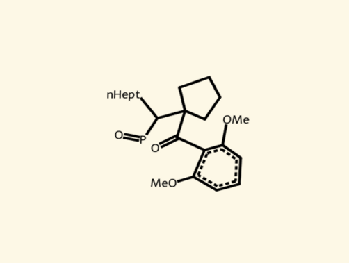 CCCCCCCC(P=O)C1(C(=O)c2c(OC)cccc2OC)CCCC1